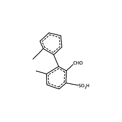 Cc1ccccc1-c1c(C)ccc(S(=O)(=O)O)c1C=O